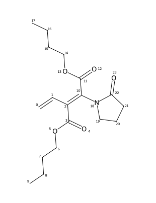 C=C/C(C(=O)OCCCC)=C(\C(=O)OCCCC)N1CCCC1=O